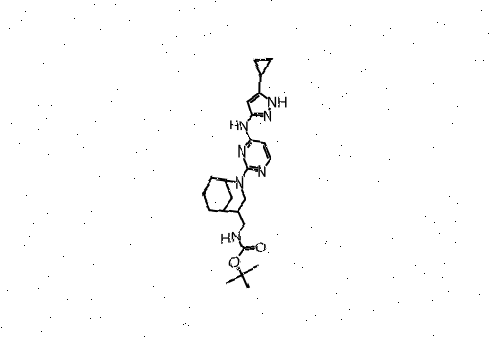 CC(C)(C)OC(=O)NCC1CN(c2nccc(Nc3cc(C4CC4)[nH]n3)n2)C2CCCC1C2